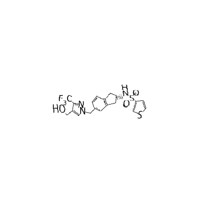 O=S(=O)(N[C@H]1Cc2ccc(Cn3cc(CO)c(C(F)(F)F)n3)cc2C1)c1ccsc1